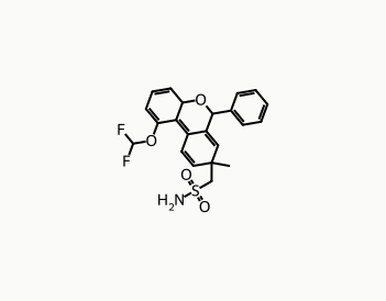 CC1(CS(N)(=O)=O)C=CC2=C3C(OC(F)F)=CC=CC3OC(c3ccccc3)C2=C1